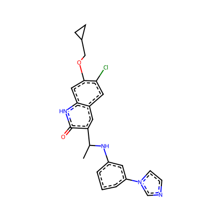 CC(Nc1cccc(-n2ccnc2)c1)c1cc2cc(Cl)c(OCC3CC3)cc2[nH]c1=O